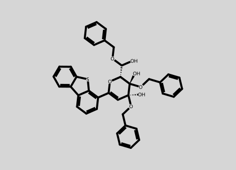 OC(OCc1ccccc1)[C@H]1OC(c2cccc3c2sc2ccccc23)=C[C@](O)(OCc2ccccc2)[C@@]1(O)OCc1ccccc1